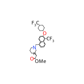 COC(=O)C[C@H]1CCCN(Cc2cccc3c(C(F)(F)F)c(OC4CCC(C(F)(F)F)CC4)ccc23)C1